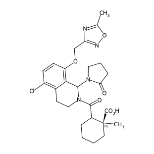 Cc1nc(COc2ccc(Cl)c3c2C(N2CCCC2=O)N(C(=O)C2CCCC[C@]2(C)C(=O)O)CC3)no1